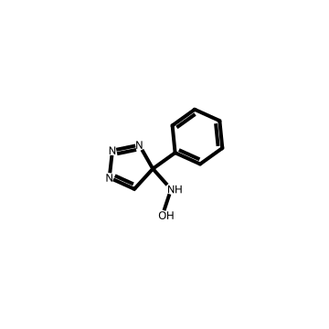 ONC1(c2ccccc2)C=NN=N1